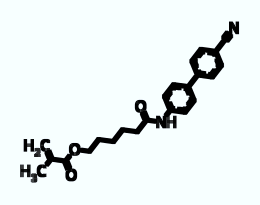 C=C(C)C(=O)OCCCCCC(=O)Nc1ccc(-c2ccc(C#N)cc2)cc1